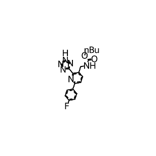 CCCCOC(=O)NCc1ccc(-c2ccc(F)cc2)nc1-c1nn[nH]n1